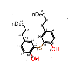 CCCCCCCCCCCCc1ccc(O)c(Sc2cc(CCCCCCCCCCCC)ccc2O)c1